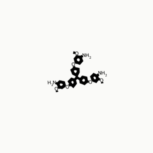 COc1cc(Oc2ccc(C(c3ccc(Oc4ccc(N)c(OC)c4)cc3)c3ccc(Oc4ccc(N)c(OC)c4)cc3)cc2)ccc1N